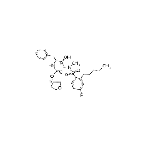 CCCCCc1cc(F)ccc1S(=O)(=O)N(C)C[C@H](O)C(Cc1ccccc1)NC(=O)O[C@H]1CCOC1